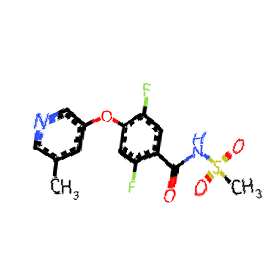 Cc1cncc(Oc2cc(F)c(C(=O)NS(C)(=O)=O)cc2F)c1